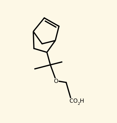 CC(C)(OCC(=O)O)C1CC2C=CC1C2